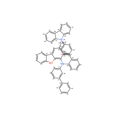 C=C/C(=c1/oc2ccccc2/c1=C/C(=C)C)N(c1cccc(-c2ccccc2)c1)c1ccccc1-c1ccc(-n2c3ccccc3c3ccccc32)cc1